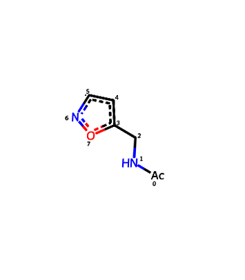 CC(=O)NCc1c[c]no1